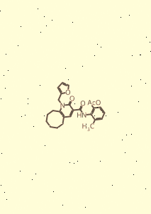 CC(=O)Oc1cccc(C)c1NC(=O)c1cc2c(n(Cc3ccco3)c1=O)CCCCCC2